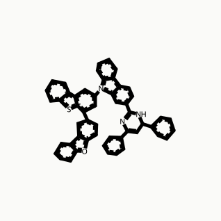 C1=C(c2ccccc2)N=C(c2ccc3c4ccccc4n(-c4cc(-c5ccc6oc7ccccc7c6c5)c5sc6ccccc6c5c4)c3c2)NC1c1ccccc1